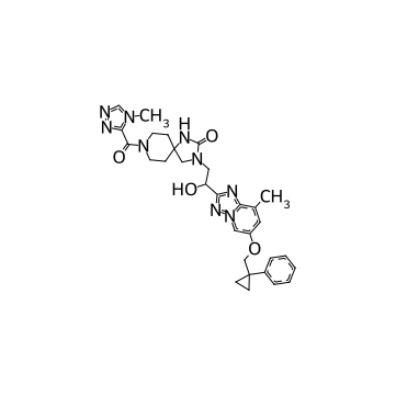 Cc1cc(OCC2(c3ccccc3)CC2)cn2nc(C(O)CN3CC4(CCN(C(=O)c5nncn5C)CC4)NC3=O)nc12